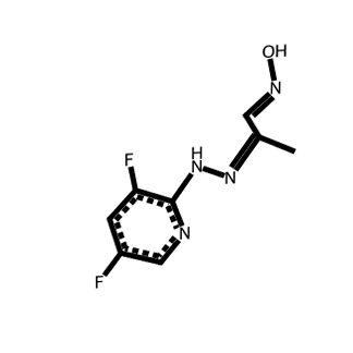 C/C(C=NO)=N/Nc1ncc(F)cc1F